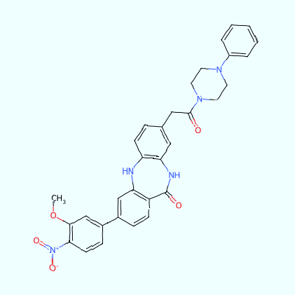 COc1cc(-c2ccc3c(c2)Nc2ccc(CC(=O)N4CCN(c5ccccc5)CC4)cc2NC3=O)ccc1[N+](=O)[O-]